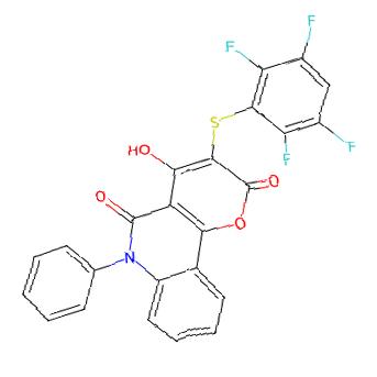 O=c1oc2c(c(O)c1Sc1c(F)c(F)cc(F)c1F)c(=O)n(-c1ccccc1)c1ccccc21